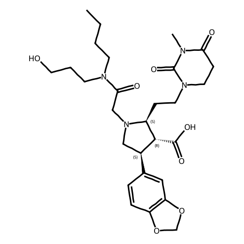 CCCCN(CCCO)C(=O)CN1C[C@H](c2ccc3c(c2)OCO3)[C@@H](C(=O)O)[C@@H]1CCN1CCC(=O)N(C)C1=O